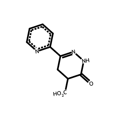 O=C(O)C1CC(c2ccccn2)=NNC1=O